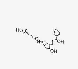 O=C(O)CCCON=C1CC2C1CC(O)C2CCC(O)c1ccccc1